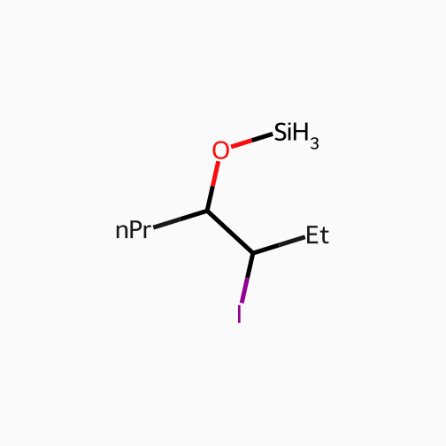 CCCC(O[SiH3])C(I)CC